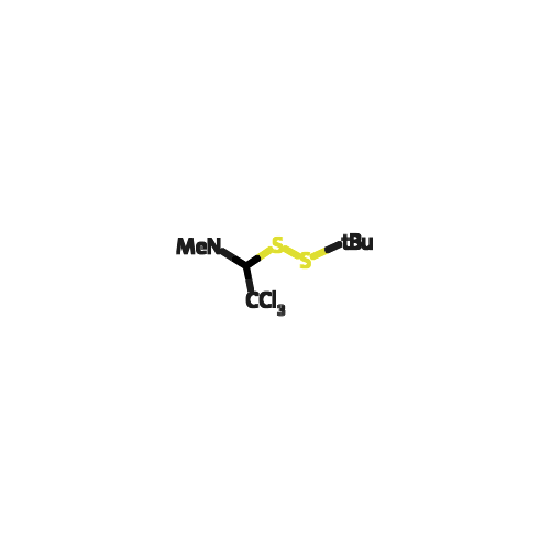 CNC(SSC(C)(C)C)C(Cl)(Cl)Cl